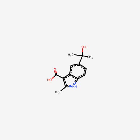 Cc1[nH]c2ccc(C(C)(C)O)cc2c1C(=O)O